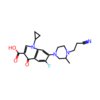 CC1CN(c2cc3c(cc2F)c(=O)c(C(=O)O)cn3C2CC2)CCN1CCC#N